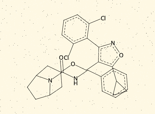 O=C(NCc1ccccc1)N1C2CCC1CC(OCc1c(-c3c(Cl)cccc3Cl)noc1C1CC1)C2